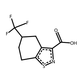 O=C(O)c1nsc2c1CC(C(F)(F)F)CC2